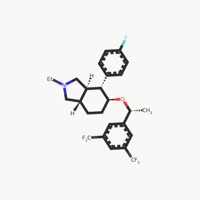 CCN1C[C@H]2CC[C@H](O[C@H](C)c3cc(C(F)(F)F)cc(C(F)(F)F)c3)[C@@H](c3ccc(F)cc3)[C@@H]2C1